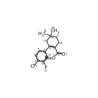 COC(=O)C1=C(c2ccc(Cl)c(F)c2)CC(C)(C)CC1